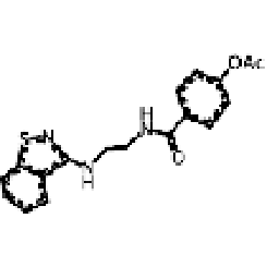 CC(=O)Oc1ccc(C(=O)NCCNc2nsc3ccccc23)cc1